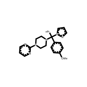 [CH2]CCC(c1ccc(OC)cc1)(N1CCN(c2ncccn2)CC1)n1cccn1